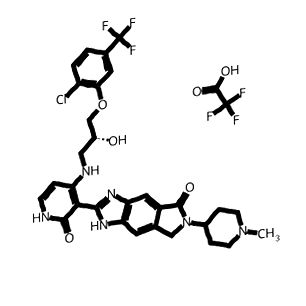 CN1CCC(N2Cc3cc4[nH]c(-c5c(NC[C@@H](O)COc6cc(C(F)(F)F)ccc6Cl)cc[nH]c5=O)nc4cc3C2=O)CC1.O=C(O)C(F)(F)F